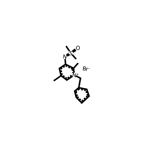 Cc1cc(N=S(C)(C)=O)c(C)[n+](Cc2ccccc2)c1.[Br-]